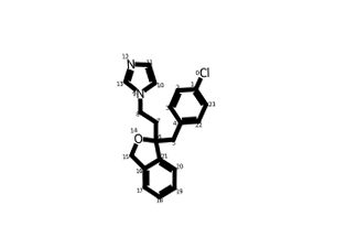 Clc1ccc(CC2(CCn3ccnc3)OCc3ccccc32)cc1